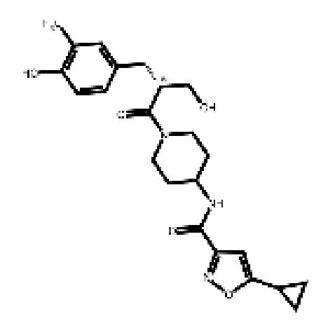 Cc1cc(C[C@H](CO)C(=O)N2CCC(NC(=O)c3cc(C4CC4)on3)CC2)ccc1O